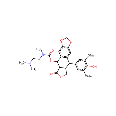 COc1cc(C2c3cc4c(cc3C(OC(=O)N(C)CCN(C)C)C3C(=O)OCC23)OCO4)cc(OC)c1O